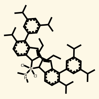 CCCC1=Cc2c(ccc(C(C)C)c2-c2cc(C(C)C)cc(C(C)C)c2)[CH]1[Zr]([Cl])([Cl])([CH]1C(CCC)=Cc2c1ccc(C(C)C)c2-c1cc(C(C)C)cc(C(C)C)c1)[SiH](C)C